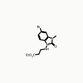 CCOC(=O)CCNn1c(=O)n(C)c2cc(Br)ccc21